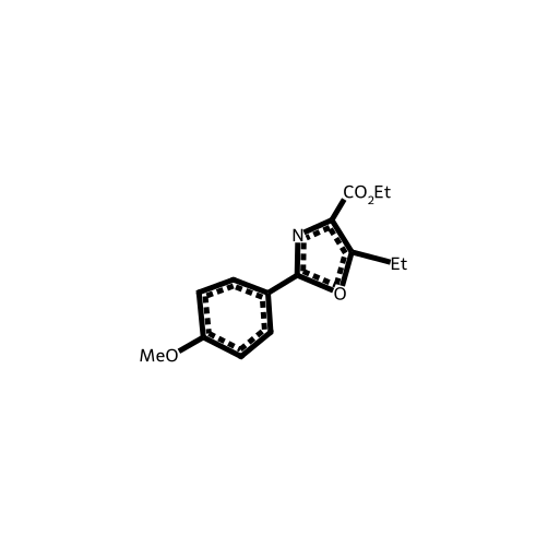 CCOC(=O)c1nc(-c2ccc(OC)cc2)oc1CC